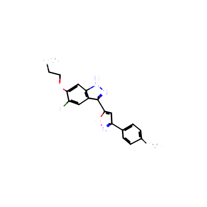 COCCOc1cc2[nH]nc(-c3cc(-c4ccc(SC)cc4)no3)c2cc1F